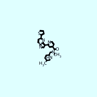 CC1CCC(CN(C)C(=O)c2ccnc(-c3cnn4ccc(-c5cccs5)nc34)c2)NC1